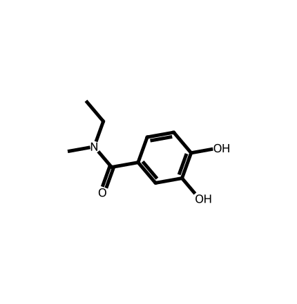 CCN(C)C(=O)c1ccc(O)c(O)c1